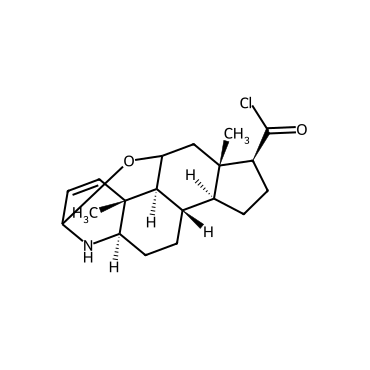 C[C@]12C=CC3N[C@@H]1CC[C@@H]1[C@@H]2C(C[C@]2(C)[C@@H](C(=O)Cl)CC[C@@H]12)O3